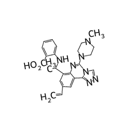 C=Cc1cc(C(C)Nc2ccccc2C(=O)O)c2nc(N3CCN(C)CC3)n3cnnc3c2c1